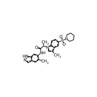 Cc1cc2cn[nH]c2cc1NC(=O)C(C)n1cc(C)c2cc(S(=O)(=O)N3CCCCC3)ccc21